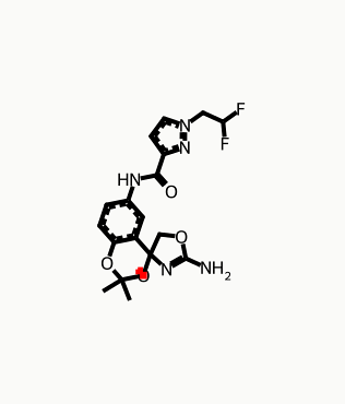 CC1(C)Oc2ccc(NC(=O)c3ccn(CC(F)F)n3)cc2C2(COC(N)=N2)C12COC2